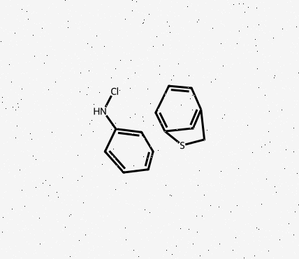 ClNc1ccccc1.c1cc2cc(c1)SC2